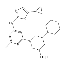 Cc1cc(Nc2ncc(C3CC3)s2)nc(N2CC(C(=O)O)CC(C3CCCCC3)C2)n1